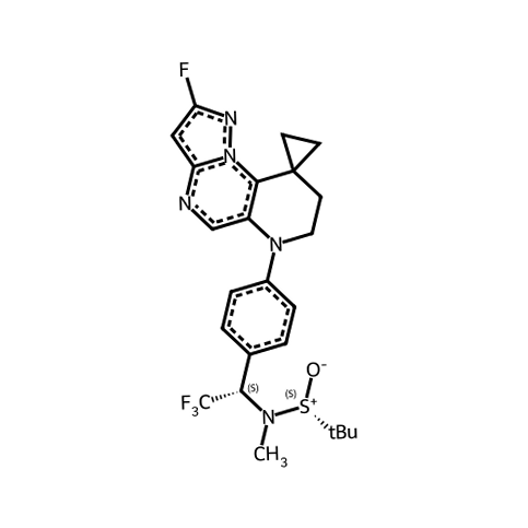 CN([C@@H](c1ccc(N2CCC3(CC3)c3c2cnc2cc(F)nn32)cc1)C(F)(F)F)[S@+]([O-])C(C)(C)C